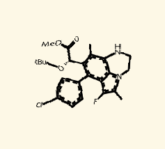 COC(=O)[C@@H](OC(C)(C)C)c1c(C)c2c3c(c(F)c(C)n3CCN2)c1-c1ccc(Cl)cc1